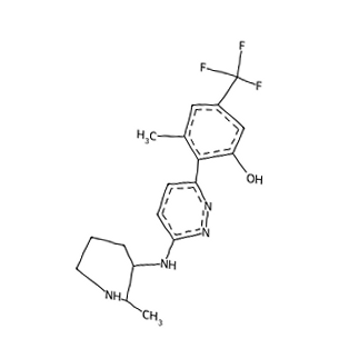 Cc1cc(C(F)(F)F)cc(O)c1-c1ccc(NC2CCCNC2C)nn1